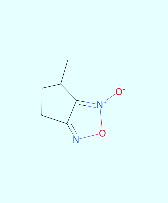 CC1CCc2no[n+]([O-])c21